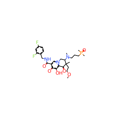 COCCC1(C)C(=O)c2c(O)c(=O)c(C(=O)NCc3ccc(F)cc3F)cn2CC1N(C)CCCP(C)(C)=O